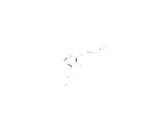 [O-][S+](NCC1CC1)Nc1ncnc(OCCO)c1Br